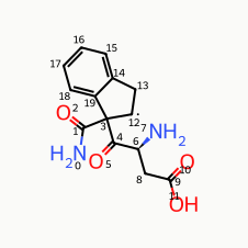 NC(=O)C1(C(=O)[C@@H](N)CC(=O)O)[CH]Cc2ccccc21